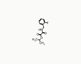 CC(C)OC(=O)C(=O)NCc1ccccc1F